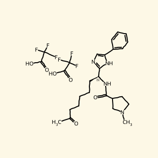 CC(=O)CCCCC[C@H](NC(=O)C1CCN(C)C1)c1ncc(-c2ccccc2)[nH]1.O=C(O)C(F)(F)F.O=C(O)C(F)(F)F